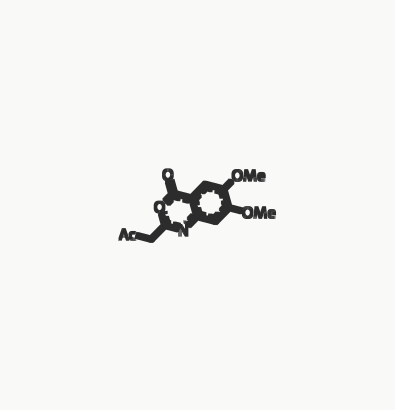 COc1cc2nc(CC(C)=O)oc(=O)c2cc1OC